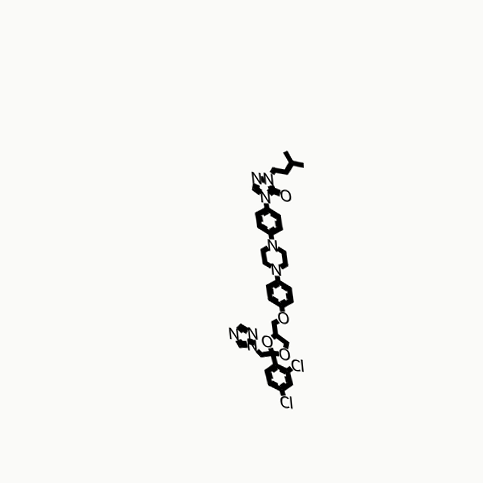 CC(C)CCn1ncn(-c2ccc(N3CCN(c4ccc(OCC5COC(Cn6cncn6)(c6ccc(Cl)cc6Cl)O5)cc4)CC3)cc2)c1=O